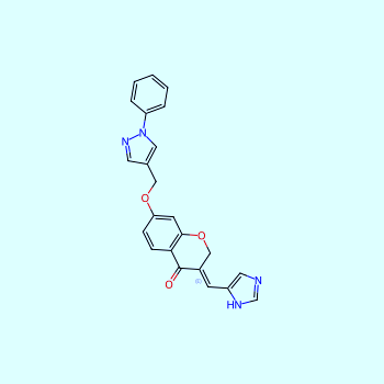 O=C1/C(=C/c2cnc[nH]2)COc2cc(OCc3cnn(-c4ccccc4)c3)ccc21